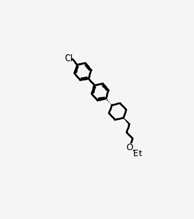 CCOCCC[C@H]1CC[C@H](c2ccc(-c3ccc(Cl)cc3)cc2)CC1